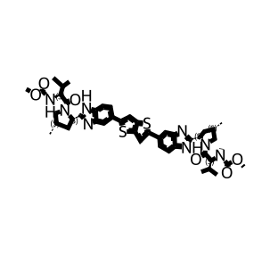 COC(=O)N[C@H](C(=O)N1C[C@@H](C)C[C@H]1c1nc2cc(-c3cc4sc(-c5ccc6[nH]c([C@@H]7C[C@H](C)CN7C(=O)[C@H](C(C)C)N(C)C(=O)OC)nc6c5)cc4s3)ccc2[nH]1)C(C)C